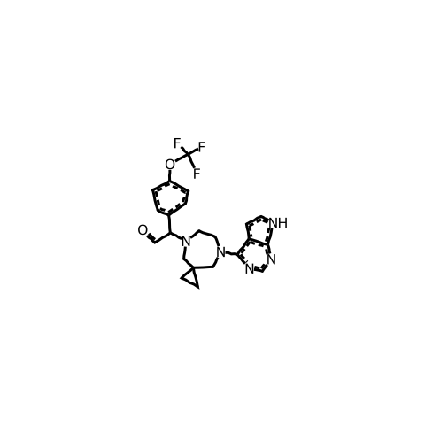 O=CC(c1ccc(OC(F)(F)F)cc1)N1CCN(c2ncnc3[nH]ccc23)CC2(CC2)C1